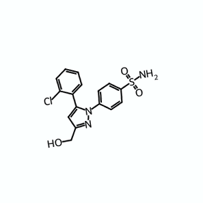 NS(=O)(=O)c1ccc(-n2nc(CO)cc2-c2ccccc2Cl)cc1